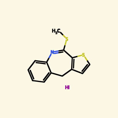 CSC1=Nc2ccccc2Cc2ccsc21.I